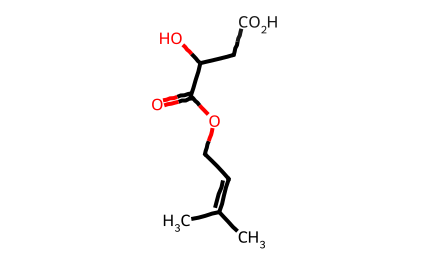 CC(C)=CCOC(=O)C(O)CC(=O)O